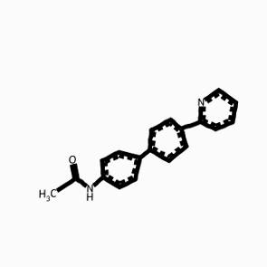 CC(=O)Nc1ccc(-c2ccc(-c3ccccn3)cc2)cc1